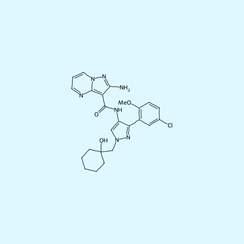 COc1ccc(Cl)cc1-c1nn(CC2(O)CCCCC2)cc1NC(=O)c1c(N)nn2cccnc12